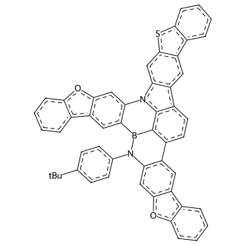 CC(C)(C)c1ccc(N2B3c4cc5c(cc4-n4c6cc7sc8ccccc8c7cc6c6ccc(c3c64)-c3cc4c(cc32)oc2ccccc24)oc2ccccc25)cc1